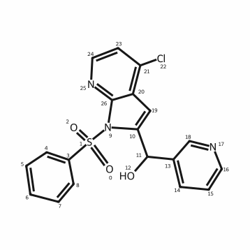 O=S(=O)(c1ccccc1)n1c(C(O)c2cccnc2)cc2c(Cl)ccnc21